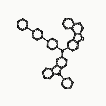 c1ccc(-c2ccc(-c3ccc(N(c4ccc5oc6ccc7ccccc7c6c5c4)c4ccc5c(c4)c4ccccc4n5-c4ccccc4)cc3)cc2)cc1